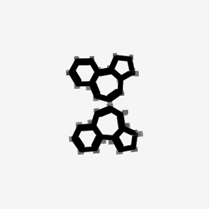 C1=CC2SCCC2=c2ccccc2=C1.C1=Cc2ccccc2C2=CCSC2=C1